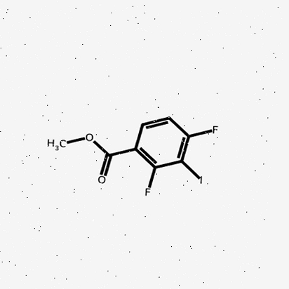 COC(=O)c1ccc(F)c(I)c1F